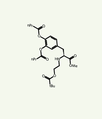 CCCC(=O)Oc1ccc(C[C@H](NCCOC(=O)C(C)(C)C)C(=O)OC)cc1OC(=O)CCC